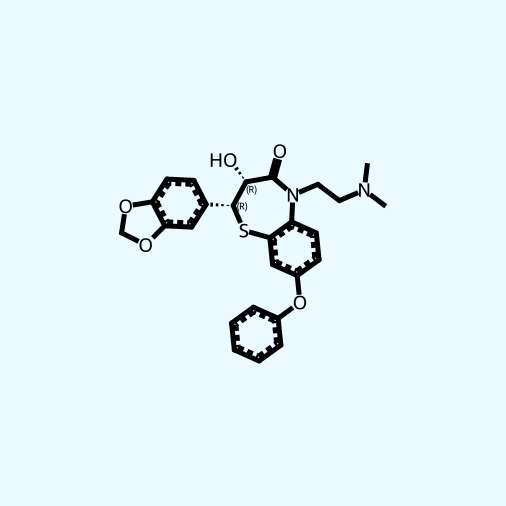 CN(C)CCN1C(=O)[C@@H](O)[C@@H](c2ccc3c(c2)OCO3)Sc2cc(Oc3ccccc3)ccc21